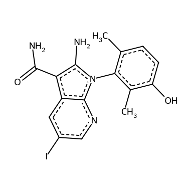 Cc1ccc(O)c(C)c1-n1c(N)c(C(N)=O)c2cc(I)cnc21